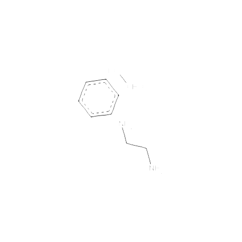 NCCN.O=CO.c1ccccc1